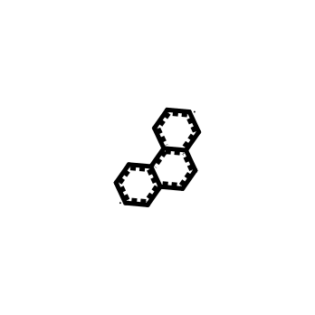 [c]1ccc2c(c1)ccc1c[c]ccc12